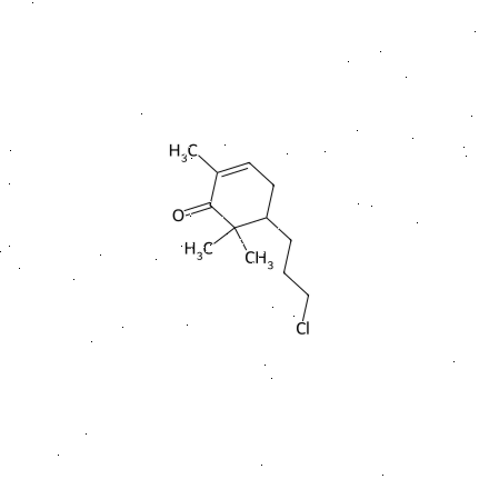 CC1=CCC(CCCCl)C(C)(C)C1=O